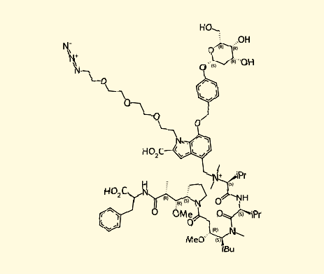 CCC(C)[C@@H]([C@@H](CC(=O)N1CCC[C@H]1[C@H](OC)[C@@H](C)C(=O)NC(Cc1ccccc1)C(=O)O)OC)N(C)C(=O)[C@@H](NC(=O)[C@H](C(C)C)[N+](C)(C)Cc1ccc(OCc2ccc(O[C@H]3C[C@@H](O)[C@@H](O)[C@@H](CO)O3)cc2)c2c1cc(C(=O)O)n2CCOCCOCCOCCN=[N+]=[N-])C(C)C